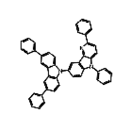 c1ccc(-c2ccc3c(c2)c2cc(-c4ccccc4)ccc2n3-c2ccc3c(c2)c2nc(-c4ccccc4)ccc2n3-c2ccccc2)cc1